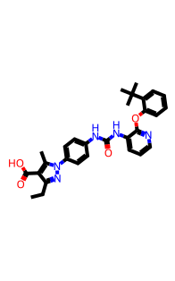 CCc1nn(-c2ccc(NC(=O)Nc3cccnc3Oc3ccccc3C(C)(C)C)cc2)c(C)c1C(=O)O